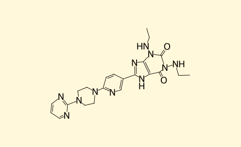 CCNn1c(=O)c2[nH]c(-c3ccc(N4CCN(c5ncccn5)CC4)nc3)nc2n(NCC)c1=O